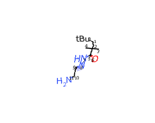 CC(C)(C)CC(C)(C)C(=O)N/N=C/CN